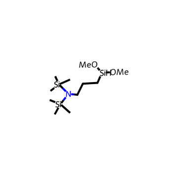 CO[SiH](CCCN([Si](C)(C)C)[Si](C)(C)C)OC